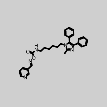 Cc1nc(-c2ccccc2)c(-c2ccccc2)n1CCCCCCNC(=O)O/N=C/c1cccnc1